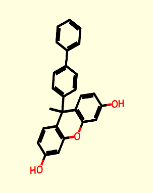 CC1(c2ccc(-c3ccccc3)cc2)c2ccc(O)cc2Oc2cc(O)ccc21